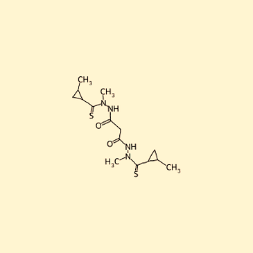 CC1CC1C(=S)N(C)NC(=O)CC(=O)NN(C)C(=S)C1CC1C